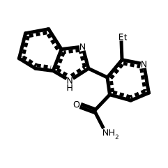 CCc1nccc(C(N)=O)c1-c1nc2ccccc2[nH]1